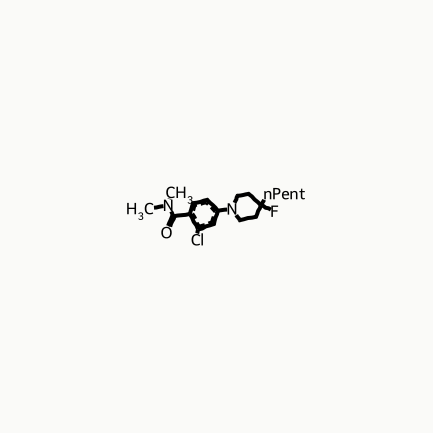 CCCCCC1(F)CCN(c2ccc(C(=O)N(C)C)c(Cl)c2)CC1